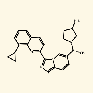 N[C@@H]1CCN([C@@H](c2ccc3nnc(-c4ccc5cccc(C6CC6)c5n4)n3c2)C(F)(F)F)C1